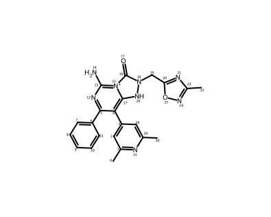 Cc1cc(-c2c(-c3ccccc3)nc(N)[n+]3c(=O)n(Cc4nc(C)no4)[nH]c23)cc(C)n1